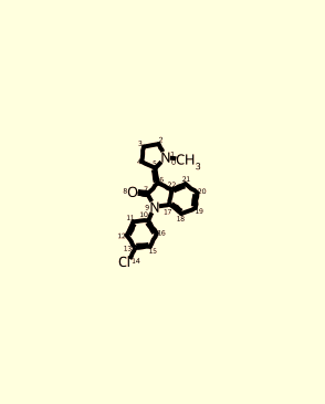 CN1CCCC1=C1C(=O)N(c2ccc(Cl)cc2)c2ccccc21